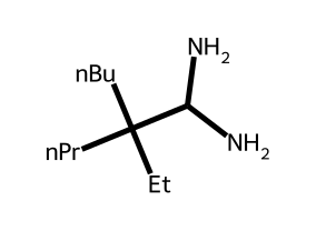 CCCCC(CC)(CCC)C(N)N